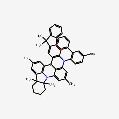 Cc1cc2c3c(c1)N1c4c(cc(C(C)(C)C)cc4C4(C)CCCCC14C)B3c1cc3c(cc1N2c1ccc(C(C)(C)C)cc1-c1ccccc1)-c1ccccc1C3(C)C